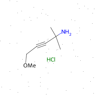 COCC#CC(C)(C)N.Cl